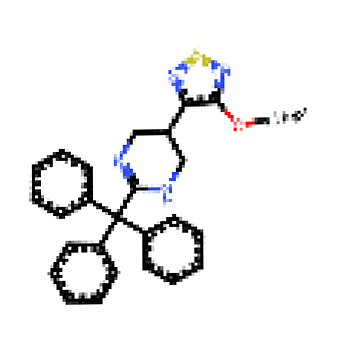 CCCCCCCOc1nsnc1C1CN=C(C(c2ccccc2)(c2ccccc2)c2ccccc2)NC1